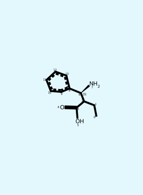 CCC(C(=O)O)[C@H](N)c1ccccc1